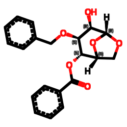 O=C(O[C@@H]1[C@@H](OCc2ccccc2)[C@@H](O)[C@@H]2OC[C@H]1O2)c1ccccc1